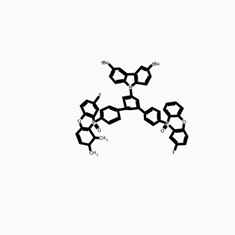 CC1C=CC2=C(C1C)P(=O)(c1ccc(-c3cc(-c4ccc(P5(=O)c6ccccc6Oc6ccc(F)cc65)cc4)cc(-n4c5ccc(C(C)(C)C)cc5c5cc(C(C)(C)C)ccc54)c3)cc1)c1cc(F)ccc1O2